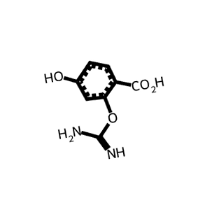 N=C(N)Oc1cc(O)ccc1C(=O)O